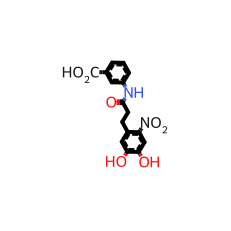 O=C(CCc1cc(O)c(O)cc1[N+](=O)[O-])Nc1cccc(C(=O)O)c1